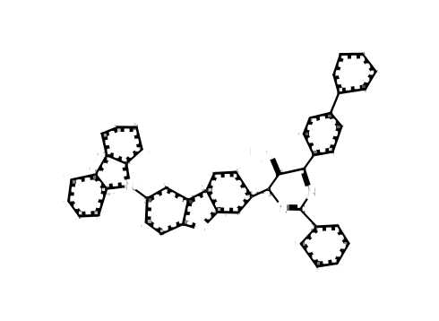 C=C1C(c2ccc(-c3ccccc3)cc2)=NC(c2ccccc2)=NC1c1ccc2c(c1)oc1ccc(-n3c4ccccc4c4ccccc43)cc12